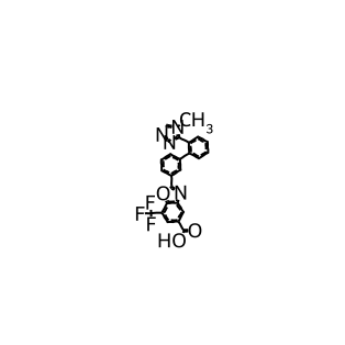 Cn1cnnc1-c1ccccc1-c1cccc(-c2nc3cc(C(=O)O)cc(C(F)(F)F)c3o2)c1